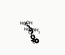 CC(=O)C1(c2ccccc2)CCN(CCC(N)(CCCCB(O)O)C(=O)O)CC1